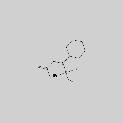 C=C(C)CN(C1CCCCC1)[Si](C(C)C)(C(C)C)C(C)C